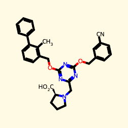 Cc1c(COc2nc(CN3CCC[C@H]3C(=O)O)nc(OCc3cccc(C#N)c3)n2)cccc1-c1ccccc1